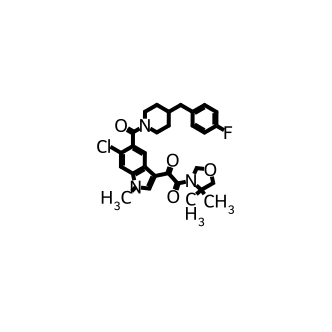 Cn1cc(C(=O)C(=O)N2COCC2(C)C)c2cc(C(=O)N3CCC(Cc4ccc(F)cc4)CC3)c(Cl)cc21